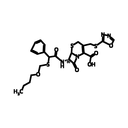 CCCCOCSC(C(=O)N[C@H]1C(=O)N2C(C(=O)O)=C(CSc3nnco3)CSC12)c1ccccc1